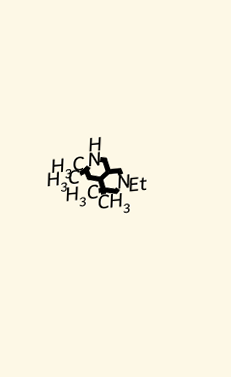 CCN1CC2CNC(C)(C)CC2C(C)(C)C1